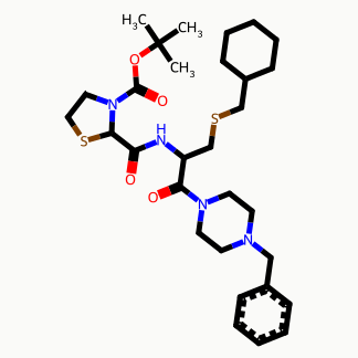 CC(C)(C)OC(=O)N1[CH]CSC1C(=O)NC(CSCC1CCCCC1)C(=O)N1CCN(Cc2ccccc2)CC1